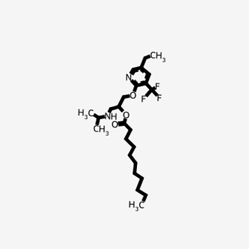 CCCCCCCCCCC(=O)OC(CNC(C)C)COc1ncc(CC)cc1C(F)(F)F